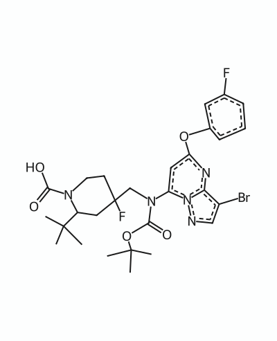 CC(C)(C)OC(=O)N(CC1(F)CCN(C(=O)O)C(C(C)(C)C)C1)c1cc(Oc2cccc(F)c2)nc2c(Br)cnn12